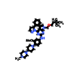 COc1cc(Nc2nc(N3N=CCC3c3ccccc3)c3ccn(COCC[Si](C)(C)C)c3n2)ccc1N1CCC(N2CCN(C)CC2)CC1